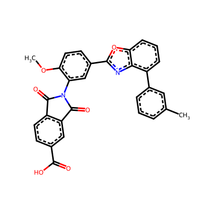 COc1ccc(-c2nc3c(-c4cccc(C)c4)cccc3o2)cc1N1C(=O)c2ccc(C(=O)O)cc2C1=O